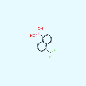 OB(O)c1cccc2c(C(F)F)cccc12